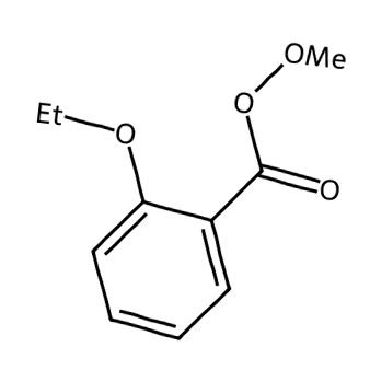 [CH2]OOC(=O)c1ccccc1OCC